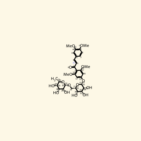 COc1ccc(/C=C/C(=O)c2c(OC)cc(O[C@@H]3O[C@H](CO[C@@H]4O[C@@H](C)[C@H](O)[C@@H](O)[C@H]4O)[C@@H](O)[C@H](O)[C@H]3O)cc2OC)cc1OC